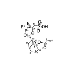 C=CC(=O)OC12CC3CC(C1)CC(C(=O)OC(CS(=O)(=O)O)C(F)(F)F)(C3)C2